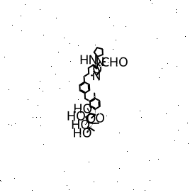 Cc1ccc([C@]23OC[C@](C(C)(C)O)(O2)[C@@H](O)[C@H](O)[C@H]3O)cc1Cc1ccc(CCCC(=O)NC2(N(C=O)CCN(C)C)CCCC2)cc1